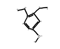 CCc1[c]c(OC)ccc1CC